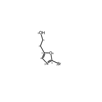 OCCc1cnc(Br)o1